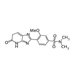 COc1cc(S(=O)(=O)N(C)C)ccc1C1=NC2=CCC(=O)NC2=N1